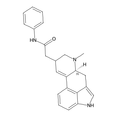 CN1CC(CC(=O)Nc2ccccc2)C=C2c3cccc4[nH]cc(c34)C[C@@H]21